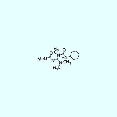 COC(=O)/N=C(/N(C)C)N(C)C(=O)NC1CCCCC1